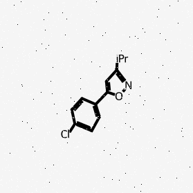 CC(C)c1cc(-c2ccc(Cl)cc2)on1